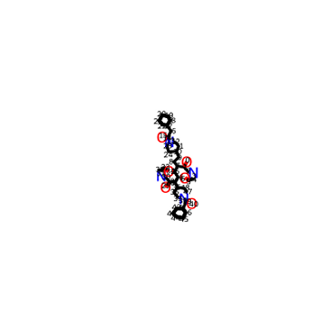 O=C(c1ncco1)C(CCC1CCN(C(=O)Cc2ccccc2)CC1)CCC(C(=O)c1ncco1)C1CCN(C(=O)c2ccccc2)CC1